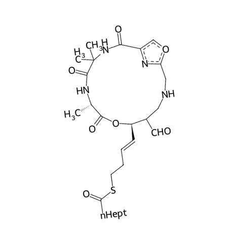 CCCCCCCC(=O)SCC/C=C/[C@H]1OC(=O)[C@H](C)NC(=O)C(C)(C)NC(=O)c2coc(n2)CNCC1C=O